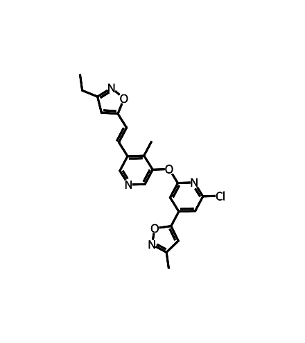 CCc1cc(/C=C/c2cncc(Oc3cc(-c4cc(C)no4)cc(Cl)n3)c2C)on1